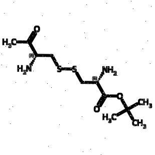 CC(=O)[C@@H](N)CSSC[C@H](N)C(=O)OC(C)(C)C